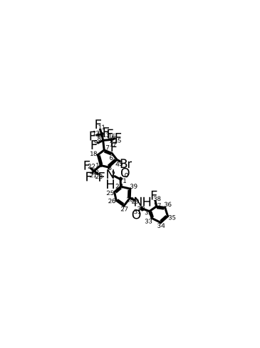 O=C(Nc1c(Br)cc(C(F)(C(F)(F)F)C(F)(F)F)cc1C(F)(F)F)c1cccc(NC(=O)c2ccccc2F)c1